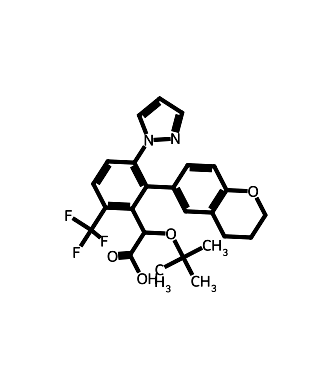 CC(C)(C)OC(C(=O)O)c1c(C(F)(F)F)ccc(-n2cccn2)c1-c1ccc2c(c1)CCCO2